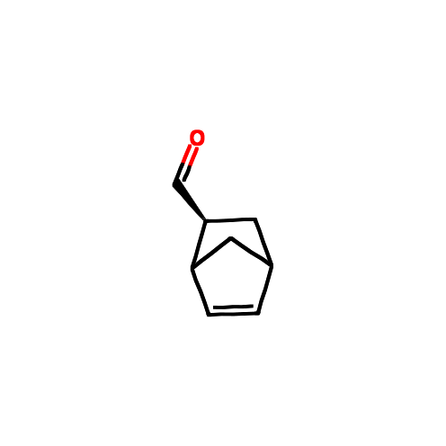 O=C[C@H]1CC2C=CC1C2